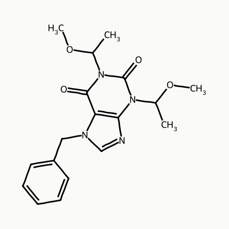 COC(C)n1c(=O)c2c(ncn2Cc2ccccc2)n(C(C)OC)c1=O